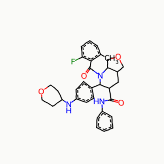 Cc1cccc(F)c1C(=O)N1C2COCC2CC(C(=O)Nc2ccccc2)C1c1ccc(NC2CCOCC2)cc1